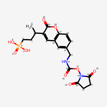 CC(CCP(=O)(O)O)c1cc2cc(CNC(=O)ON3C(=O)CCC3=O)ccc2oc1=O